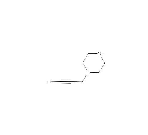 CC(C)(C)C#CCN1CCNCC1